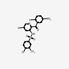 O=C(c1cc([N+](=O)[O-])ccc1Cl)c1ncc(Cl)cc1NS(=O)(=O)c1ccc(Cl)c(C(F)(F)F)c1